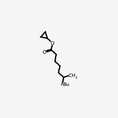 CCCCC(C)CCCCC(=O)OC1CC1